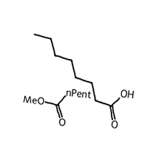 CCCCCC(=O)OC.CCCCCCCC(=O)O